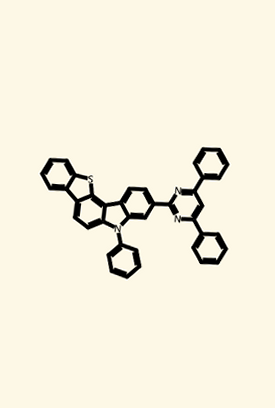 c1ccc(-c2cc(-c3ccccc3)nc(-c3ccc4c5c6sc7ccccc7c6ccc5n(-c5ccccc5)c4c3)n2)cc1